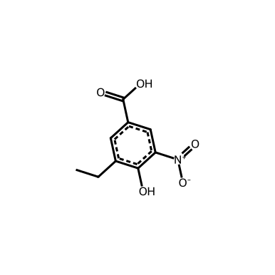 CCc1cc(C(=O)O)cc([N+](=O)[O-])c1O